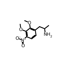 COc1c(CC(C)N)ccc([N+](=O)[O-])c1OC